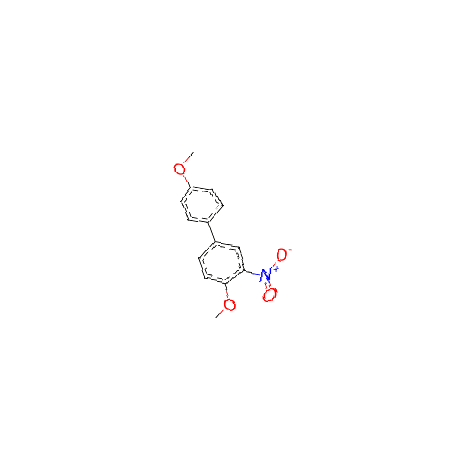 COc1ccc(-c2ccc(OC)c([N+](=O)[O-])c2)cc1